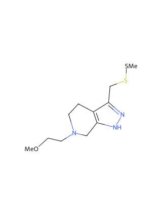 COCCN1CCc2c(CSSC)n[nH]c2C1